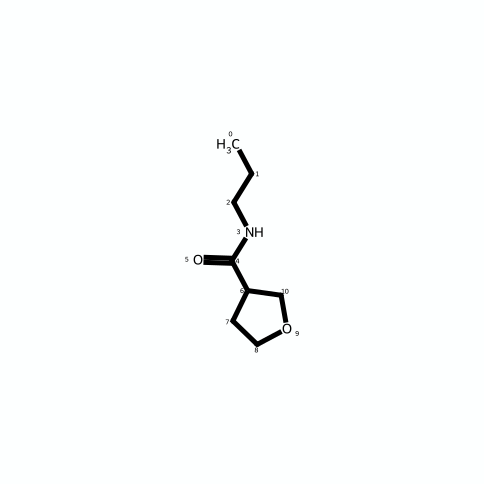 CCCNC(=O)C1CCOC1